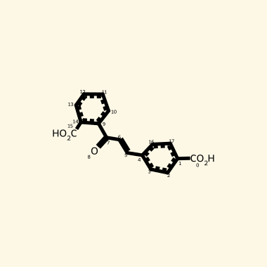 O=C(O)c1ccc(C=CC(=O)c2ccccc2C(=O)O)cc1